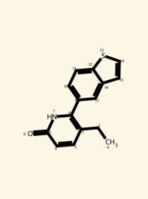 CCc1ccc(=O)[nH]c1-c1ccc2sccc2c1